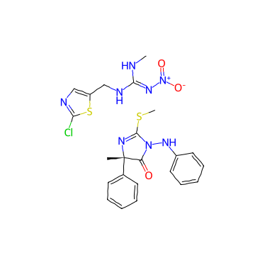 CN/C(=N\[N+](=O)[O-])NCc1cnc(Cl)s1.CSC1=N[C@@](C)(c2ccccc2)C(=O)N1Nc1ccccc1